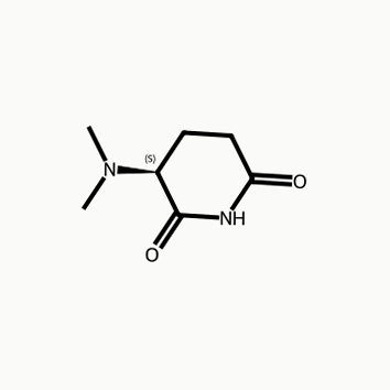 CN(C)[C@H]1CCC(=O)NC1=O